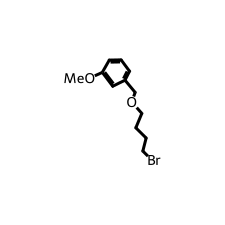 COc1cccc(COCCCCBr)c1